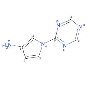 Nc1ccn(-c2ncncn2)c1